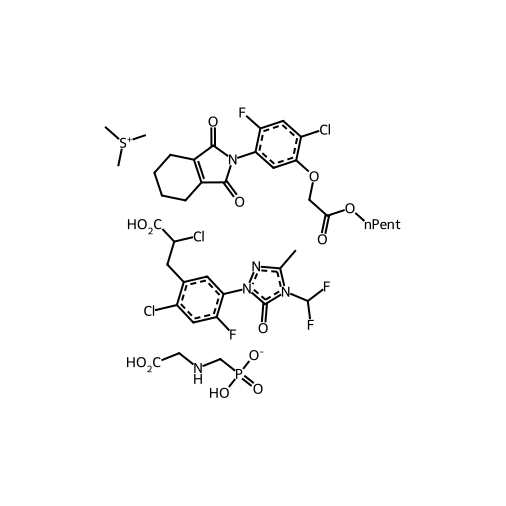 CCCCCOC(=O)COc1cc(N2C(=O)C3=C(CCCC3)C2=O)c(F)cc1Cl.C[S+](C)C.Cc1nn(-c2cc(CC(Cl)C(=O)O)c(Cl)cc2F)c(=O)n1C(F)F.O=C(O)CNCP(=O)([O-])O